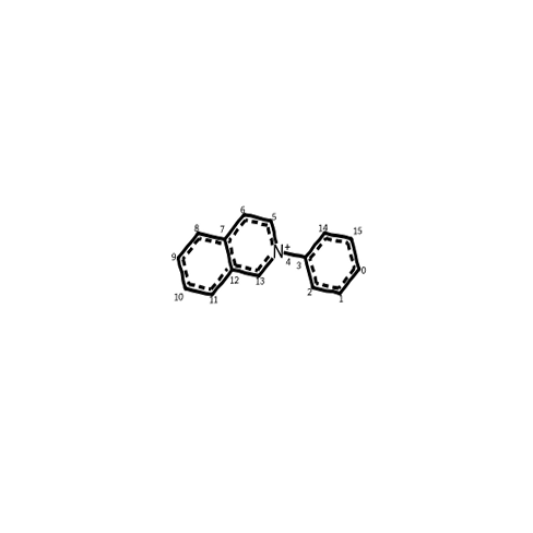 c1ccc(-[n+]2ccc3ccccc3c2)cc1